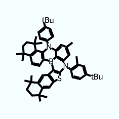 Cc1cc2c3c(c1)N(c1ccc(C(C)(C)C)cc1)c1c(ccc4c1C(C)(C)CCC4(C)C)B3c1c(sc3cc4c(cc13)C(C)(C)CCC4(C)C)N2c1ccc(C(C)(C)C)cc1C